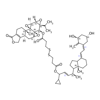 C=C1/C(=C\C=C2/CCC[C@@]3(C)C2CCC3[C@@H](C)/C=C/C(OC(=O)CCSSCCC(=O)O[C@@H]2[C@@]3(C(C)C)O[C@H]3[C@@H]3O[C@]34[C@]23O[C@H]3C[C@H]2C3=C(CC[C@@]24C)C(=O)OC3)C2CC2)C[C@@H](O)C[C@@H]1O